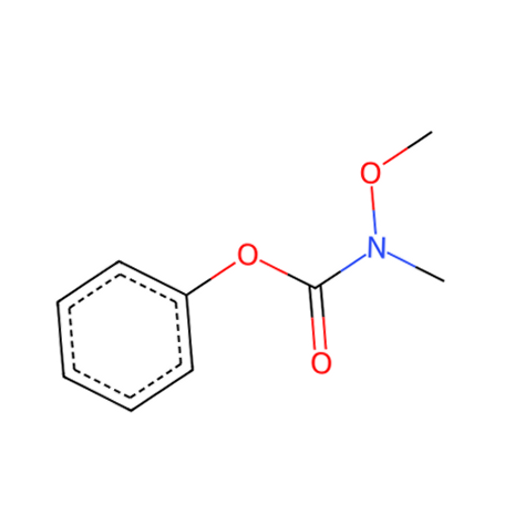 CON(C)C(=O)Oc1ccccc1